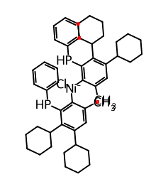 Cc1cc(C2CCCCC2)c(C2CCCCC2)c(Pc2ccccc2)[c]1[Ni-]([Cl])[c]1c(C)cc(C2CCCCC2)c(C2CCCCC2)c1Pc1ccccc1